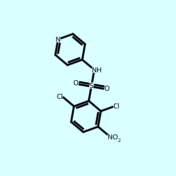 O=[N+]([O-])c1ccc(Cl)c(S(=O)(=O)Nc2ccncc2)c1Cl